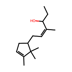 CCC(O)C(C)=CCC1CC=C(C)C1(C)C